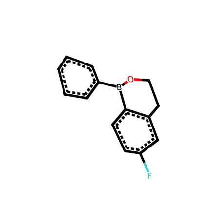 Fc1ccc2c(c1)CCOB2c1ccccc1